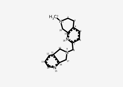 CN1CCc2ccc(CN3Cc4cccnc4C3)nc2C1